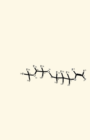 FC(F)=C(F)OC(F)(F)C(F)(F)C(F)(F)COC(F)(F)C(F)OC(F)(F)F